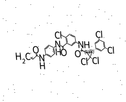 C=CC(=O)Nc1ccc(NC(=O)c2cc(NC(=O)[C@H]3[C@H](c4cc(Cl)cc(Cl)c4)C3(Cl)Cl)ccc2Cl)cc1